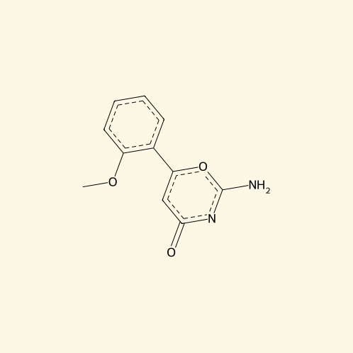 COc1ccccc1-c1cc(=O)nc(N)o1